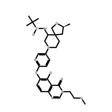 COCCn1cnc2ccc(Sc3ccc(N4CCC5(CO[C@@H](C)C5)C(N[S+]([O-])C(C)(C)C)C4)cn3)c(Cl)c2c1=O